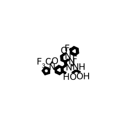 Cc1ccc(N(C(=O)C(F)(F)F)C2CCCC2)cc1-c1nc(NC(CO)CO)nc2c1ccc(=O)n2-c1c(F)cccc1F